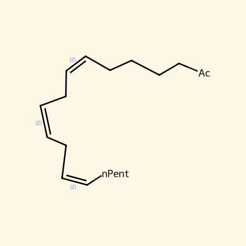 CCCCC/C=C\C/C=C\C/C=C\CCCCC(C)=O